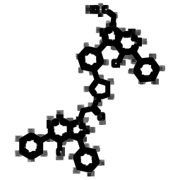 O=C(O)Cn1nc(-c2cccc(C3CCN(C(=O)Cn4nc(-c5ccccc5)c5c(Cl)c(-c6ccccc6)nnc54)C3)c2)c2c(Cl)c(-c3ccccc3)nnc21